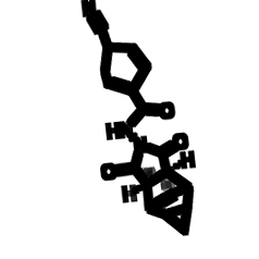 N#CC1C=CC(C(=O)NN2C(=O)[C@@H]3C4C=CC(C5CC54)[C@@H]3C2=O)=CC1